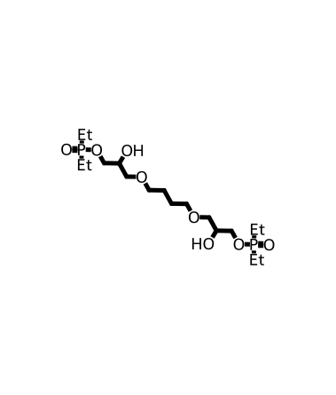 CCP(=O)(CC)OCC(O)COCCCCOCC(O)COP(=O)(CC)CC